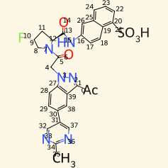 CC(=O)c1nn(CC(=O)N2C[C@H](F)C[C@H]2C(=O)Nc2ccc3c(S(=O)(=O)O)cccc3c2)c2ccc(-c3cnc(C)nc3)cc12